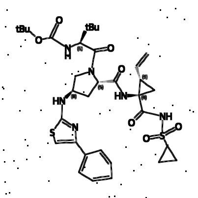 C=C[C@@H]1C[C@]1(NC(=O)[C@@H]1C[C@@H](Nc2nc(-c3ccccc3)cs2)CN1C(=O)[C@@H](NC(=O)OC(C)(C)C)C(C)(C)C)C(=O)NS(=O)(=O)C1CC1